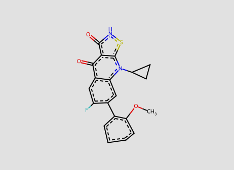 COc1ccccc1-c1cc2c(cc1F)c(=O)c1c(=O)[nH]sc1n2C1CC1